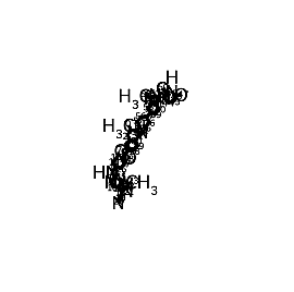 CC(Cc1cc(S(=O)(=O)N2CCC(Nc3ncc4c(C#N)nn(C)c4n3)CC2)ccc1C#N)CN1CCC(c2ccc3c(N4CCC(=O)NC4=O)nn(C)c3c2)CC1